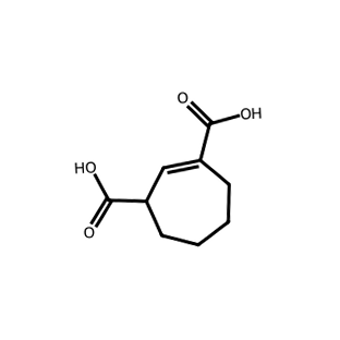 O=C(O)C1=CC(C(=O)O)CCCC1